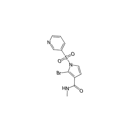 CNC(=O)c1ccn(S(=O)(=O)c2cccnc2)c1Br